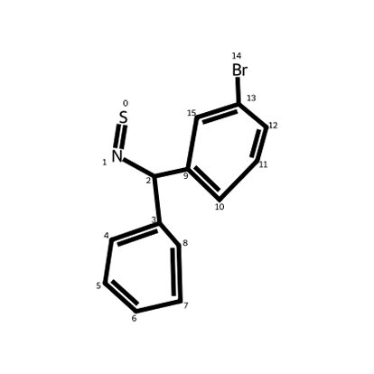 S=NC(c1ccccc1)c1cccc(Br)c1